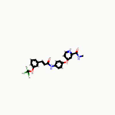 CNC(=O)c1cc(Oc2ccc(NC(=O)/C=C/c3cccc(OC(F)(F)F)c3)cc2)ccn1